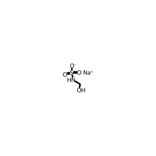 O=S(=O)([O-])NCO.[Na+]